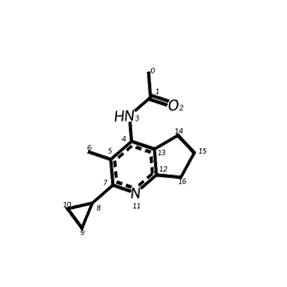 CC(=O)Nc1c(C)c(C2CC2)nc2c1CCC2